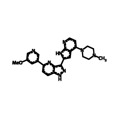 COc1cncc(-c2ccc3[nH]nc(-c4cc5c(N6CCN(C)CC6)ccnc5[nH]4)c3n2)c1